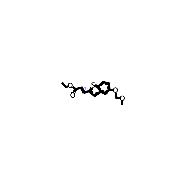 CCOC(=O)/C=C/c1cc2cc(OCOC)ccc2s1